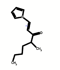 CCCCC(C)C(=O)/C=C/n1cccc1